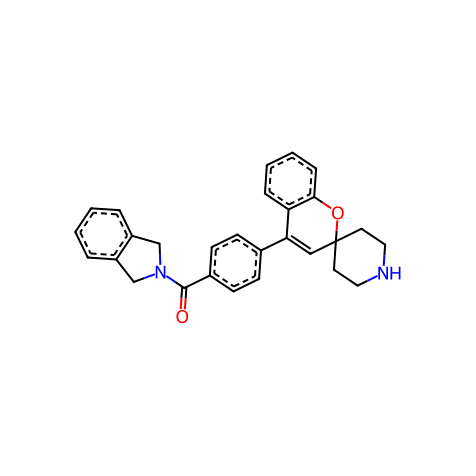 O=C(c1ccc(C2=CC3(CCNCC3)Oc3ccccc32)cc1)N1Cc2ccccc2C1